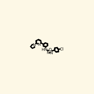 Clc1ccc(-c2nnc(Nc3cccc(-c4cccc(N5CCCC5)n4)c3)o2)cc1